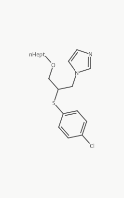 CCCCCCCOCC(Cn1ccnc1)Sc1ccc(Cl)cc1